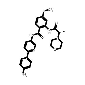 C[C@@H](C(=O)Nc1cc(OC(F)(F)F)ccc1C(=O)Nc1ccc(-c2ccc(N)cc2)nc1)N1CCOCC1